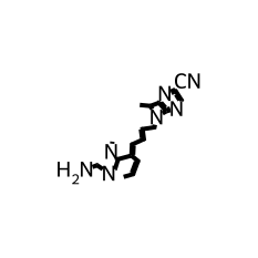 C\C=C/C(=C\C=C\CN1c2ncc(C#N)nc2C1C)C(/C=N\CN)=N\C